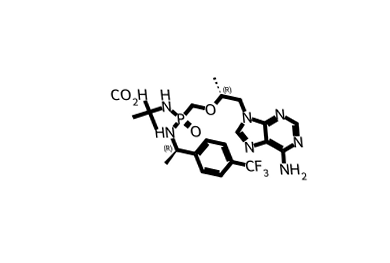 C[C@H](Cn1cnc2c(N)ncnc21)OCP(=O)(N[C@H](C)c1ccc(C(F)(F)F)cc1)NC(C)(C)C(=O)O